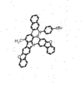 Cc1cc2c3c4c1c1cc5oc6ccccc6c5cc1n4-c1cc4c(cc1B3N(c1ccc(C(C)(C)C)cc1)c1cc3ccccc3cc1-2)oc1ccccc14